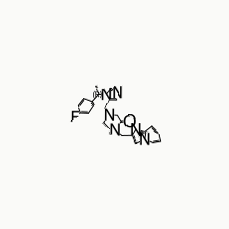 C[C@H](c1ccc(F)cc1)n1cncc1CN1CCN(Cc2cn3ccccc3n2)C(=O)C1